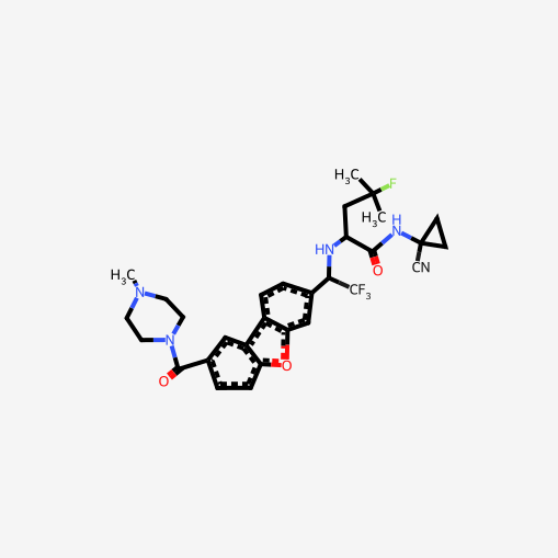 CN1CCN(C(=O)c2ccc3oc4cc(C(NC(CC(C)(C)F)C(=O)NC5(C#N)CC5)C(F)(F)F)ccc4c3c2)CC1